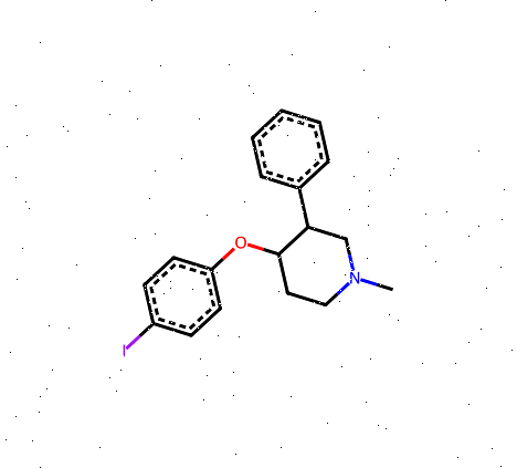 CN1CCC(Oc2ccc(I)cc2)C(c2ccccc2)C1